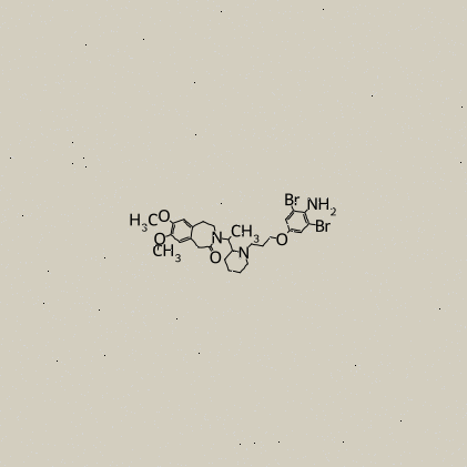 COc1cc2c(cc1OC)CC(=O)N(C(C)C1CCCCN1CCCOc1cc(Br)c(N)c(Br)c1)CC2